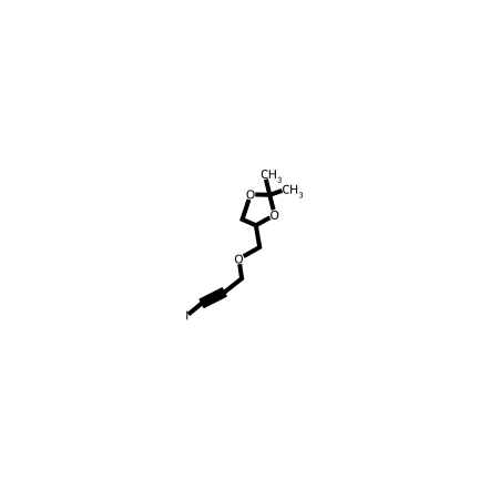 CC1(C)OCC(COCC#CI)O1